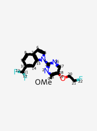 COc1nc(-n2ccc3ccc(C(F)F)cc32)ncc1OCCF